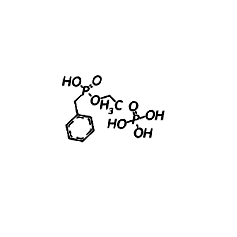 CCOP(=O)(O)Cc1ccccc1.O=P(O)(O)O